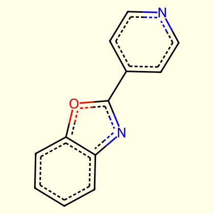 c1ccc2oc(-c3ccncc3)nc2c1